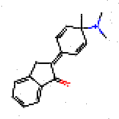 CN(C)C1(C)C=CC(=C2Cc3ccccc3C2=O)C=C1